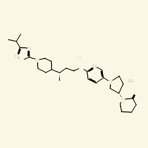 CC(C)c1noc(N2CCC([C@H](C)CCOc3ccc(N4C[C@H](N)[C@@H](N5CCCCC5=O)C4)cn3)CC2)n1.Cl